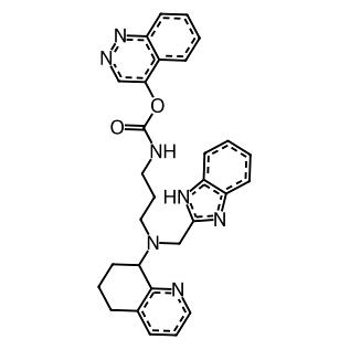 O=C(NCCCN(Cc1nc2ccccc2[nH]1)C1CCCc2cccnc21)Oc1cnnc2ccccc12